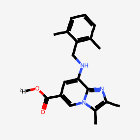 [2H]OC(=O)c1cc(NCc2c(C)cccc2C)c2nc(C)c(C)n2c1